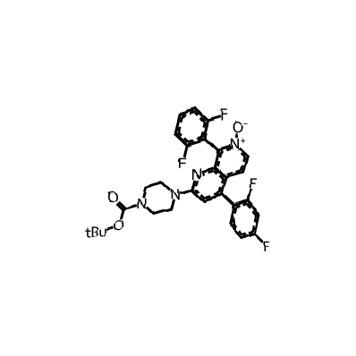 CC(C)(C)OC(=O)N1CCN(c2cc(-c3ccc(F)cc3F)c3cc[n+]([O-])c(-c4c(F)cccc4F)c3n2)CC1